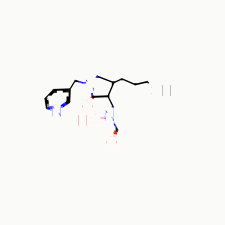 CCCCC1CN(Cc2cccnc2)C(=O)C1CN(O)C=O